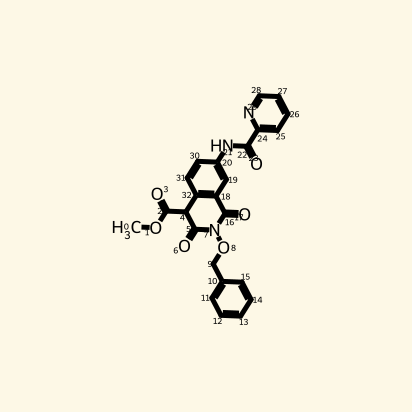 COC(=O)C1C(=O)N(OCc2ccccc2)C(=O)c2cc(NC(=O)c3ccccn3)ccc21